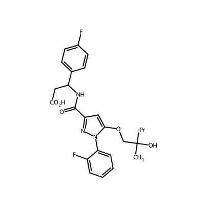 CC(C)C(C)(O)COc1cc(C(=O)NC(CC(=O)O)c2ccc(F)cc2)nn1-c1ccccc1F